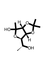 C[C@@H](O)[C@H]1OC(C)(O)[C@@H]2OC(C)(C)O[C@H]12